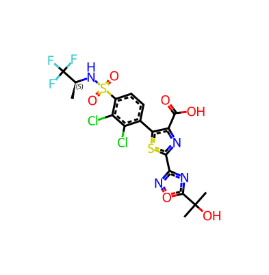 C[C@H](NS(=O)(=O)c1ccc(-c2sc(-c3noc(C(C)(C)O)n3)nc2C(=O)O)c(Cl)c1Cl)C(F)(F)F